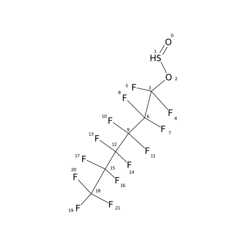 O=[SH]OC(F)(F)C(F)(F)C(F)(F)C(F)(F)C(F)(F)C(F)(F)F